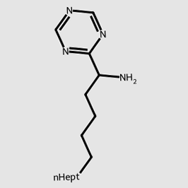 CCCCCCCCCCCC(N)c1ncncn1